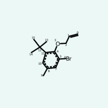 C=CCOc1c(Br)cc(C)cc1C(C)(C)C